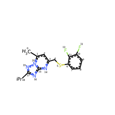 Cc1cc(CSc2cccc(F)c2F)nc2nc(C(C)C)nn12